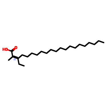 CCCCCCCCCCCCCCCCCC/C(CC)=C(/C)C(=O)O